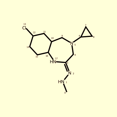 CN/N=C1/CN(C2CC2)CC2CC(Cl)CCC2N1